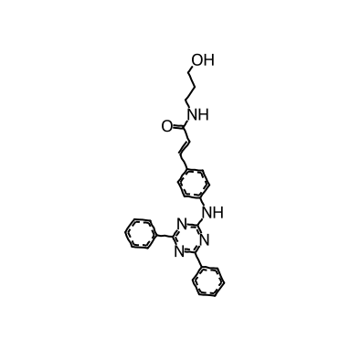 O=C(/C=C/c1ccc(Nc2nc(-c3ccccc3)nc(-c3ccccc3)n2)cc1)NCCCO